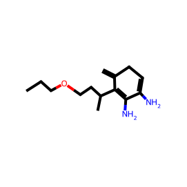 C=C1CC=C(N)C(N)=C1C(C)CCOCCC